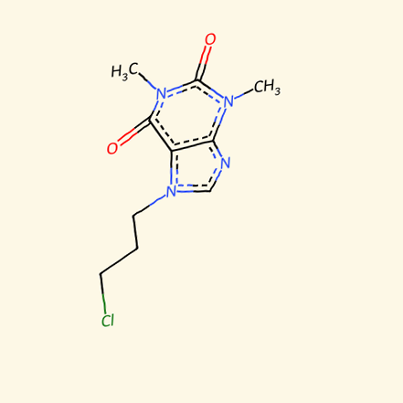 Cn1c(=O)c2c(ncn2CCCCl)n(C)c1=O